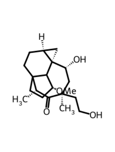 CO[C@@H]1CCC23CC[C@H]4C[C@@]4(C12)[C@H](O)C[C@@](C)(CCO)C(=O)[C@@H]3C